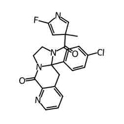 CC1(C(=O)N2CCN3C(=O)c4ncccc4CC32c2ccc(Cl)cc2)C=NC(F)=C1